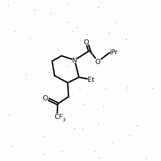 CCC1C(CC(=O)C(F)(F)F)CCCN1C(=O)OC(C)C